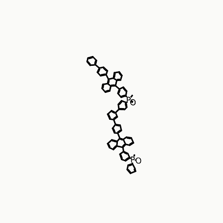 CP(=O)(c1ccc(-c2cccc(-c3ccc(-c4c5ccccc5c(-c5cccc(P(C)(=O)c6ccccc6)c5)c5ccccc45)cc3)c2)cc1)c1ccc(-c2c3ccccc3c(-c3ccc(-c4ccccc4)cc3)c3ccccc23)cc1